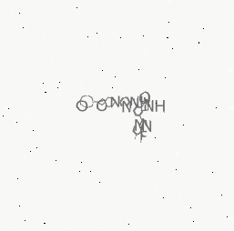 Cc1ccn2c(-c3ccc(Nc4ccc(N5CCC6(CC5)CC(C5CCCCOCC5)O6)cn4)c4c3CNC4=O)cnc2c1F